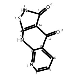 O=c1[nH]sc2[nH]c3ncccc3c(=O)c12